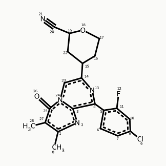 Cc1nc2c(-c3ccc(Cl)cc3F)nc(C3CCOC(C#N)C3)cn2c(=O)c1C